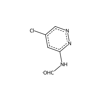 O=[C]Nc1cc(Cl)cnn1